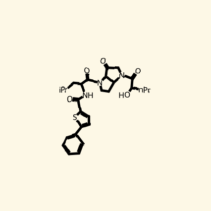 CCCC(O)C(=O)N1CC(=O)C2C1CCN2C(=O)C(CC(C)C)NC(=O)c1ccc(-c2ccccc2)s1